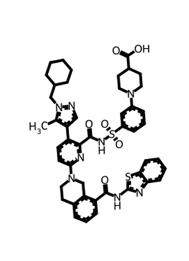 Cc1c(-c2ccc(N3CCc4cccc(C(=O)Nc5nc6ccccc6s5)c4C3)nc2C(=O)NS(=O)(=O)c2cccc(N3CCC(C(=O)O)CC3)c2)cnn1CC1CCCCC1